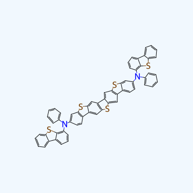 c1ccc(N(c2ccc3c(c2)sc2cc4c(cc23)sc2cc3c(cc24)sc2cc(N(c4ccccc4)c4cccc5c4sc4ccccc45)ccc23)c2cccc3c2sc2ccccc23)cc1